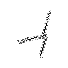 CCCCCCCCCCCCCCCc1cc[n+](CCCCCCCCCCC)cc1CCCCCCCCCCCCCCC